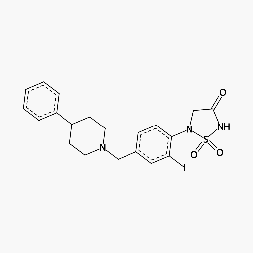 O=C1CN(c2ccc(CN3CCC(c4ccccc4)CC3)cc2I)S(=O)(=O)N1